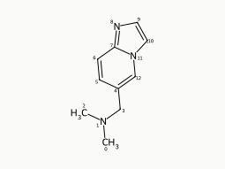 CN(C)Cc1ccc2nc[c]n2c1